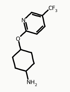 NC1CCC(Oc2ccc(C(F)(F)F)cn2)CC1